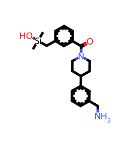 C[Si](C)(O)Cc1cccc(C(=O)N2CCC(c3cccc(CN)c3)CC2)c1